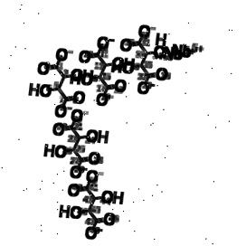 O=C([O-])C(O)C(O)C(=O)[O-].O=C([O-])C(O)C(O)C(=O)[O-].O=C([O-])C(O)C(O)C(=O)[O-].O=C([O-])C(O)C(O)C(=O)[O-].O=C([O-])C(O)C(O)C(=O)[O-].[Nb+5].[Nb+5]